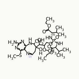 CCOC(=O)C(NP(=O)(N[C@H](C(=O)OCC)C(C)C)OCC(OC)C(O)C1(O)C/C=N\c2c(nc(N)nc2SC)NC1C)C(C)C